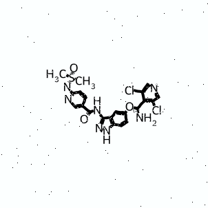 CS(C)(=O)=Nc1ccc(C(=O)Nc2n[nH]c3ccc(O[C@H](N)c4c(Cl)cncc4Cl)cc23)cn1